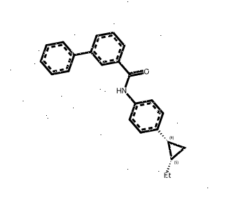 CC[C@H]1C[C@H]1c1ccc(NC(=O)c2cccc(-c3ccccc3)c2)cc1